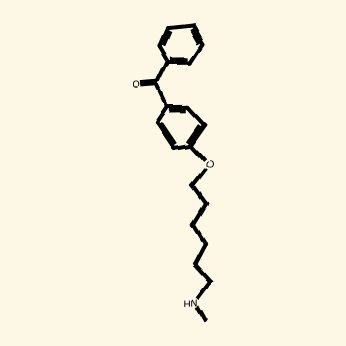 CNCCCCCCOc1ccc(C(=O)c2ccccc2)cc1